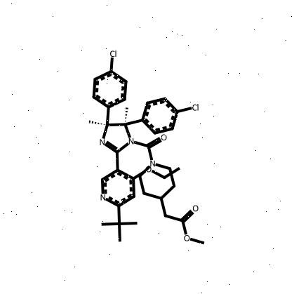 CCOc1cc(C(C)(C)C)ncc1C1=N[C@@](C)(c2ccc(Cl)cc2)[C@@](C)(c2ccc(Cl)cc2)N1C(=O)N1CCC(CC(=O)OC)CC1